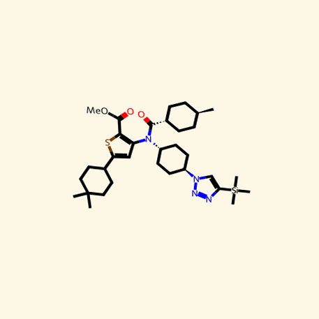 COC(=O)c1sc(C2CCC(C)(C)CC2)cc1N(C(=O)[C@H]1CC[C@H](C)CC1)[C@H]1CC[C@H](n2cc([Si](C)(C)C)nn2)CC1